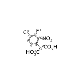 O=C(O)C(C(=O)O)c1ccc(Cl)c(F)c1[N+](=O)[O-]